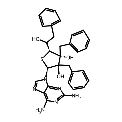 Nc1nc(N)c2ncn([C@H]3S[C@@H](C(O)Cc4ccccc4)[C@@](O)(Cc4ccccc4)[C@]3(O)Cc3ccccc3)c2n1